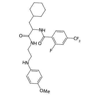 COc1ccc(NCCNC(=O)C(CC2CCCCC2)NC(=O)c2ccc(C(F)(F)F)cc2F)cc1